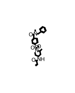 C=CC(=O)NC1CCN(S(=O)(=O)c2ccc(C(=O)N(C)Cc3ccccc3)cc2)C(C)C1